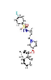 CC(CCN1CCC(Oc2cccc3ccccc23)C1)NS(=O)(=O)c1ccc(F)cc1